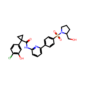 O=C(Nc1cccc(-c2ccc(S(=O)(=O)N3CCCC3CO)cc2)n1)C1(c2ccc(Cl)c(O)c2)CC1